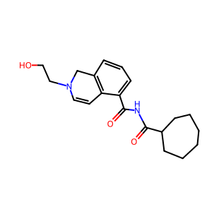 O=C(NC(=O)C1CCCCCC1)c1cccc2c1C=CN(CCO)C2